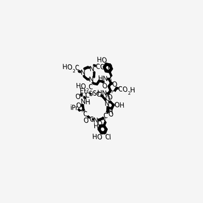 CCC(=O)[C@@H]1CSSC[C@H](NC(=O)[C@@H](CCC(=O)O)CC(=O)[C@H](Cc2ccc(O)cc2)NC(=O)CCC(C(=O)O)N2CCN(CC(=O)O)CCN(CC(=O)O)CC2)C(=O)N2C[C@H](O)C[C@H]2C(=O)C[C@@H](Cc2ccc(O)c(Cl)c2)C(=O)NCC(=O)C[C@@H](CC(C)C)C(=O)N1